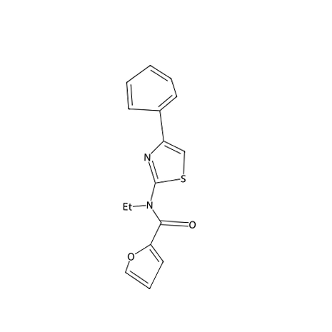 CCN(C(=O)c1ccco1)c1nc(-c2ccccc2)cs1